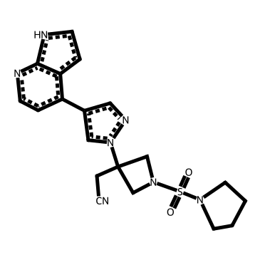 N#CCC1(n2cc(-c3ccnc4[nH]ccc34)cn2)CN(S(=O)(=O)N2CCCC2)C1